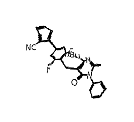 CCCCc1nc(C)n(-c2ccccc2)c(=O)c1Cc1c(F)cc(-c2ccccc2C#N)cc1F